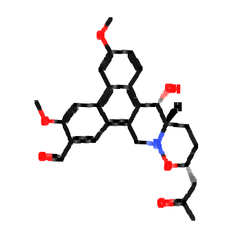 COc1ccc2c3c(c4cc(C=O)c(OC)cc4c2c1)CN1O[C@@H](CC(C)=O)CC[C@H]1[C@H]3O